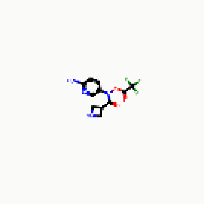 Nc1ccc(N(OC(=O)C(F)(F)F)C(=O)C2CNC2)cn1